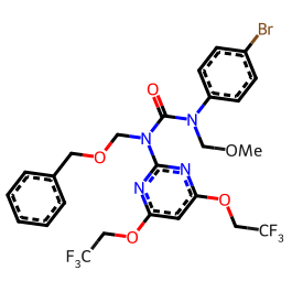 COCN(C(=O)N(COCc1ccccc1)c1nc(OCC(F)(F)F)cc(OCC(F)(F)F)n1)c1ccc(Br)cc1